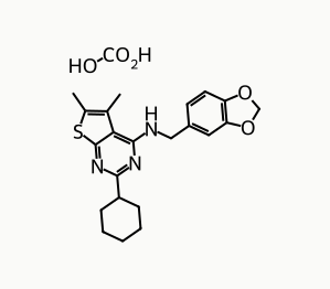 Cc1sc2nc(C3CCCCC3)nc(NCc3ccc4c(c3)OCO4)c2c1C.O=C(O)O